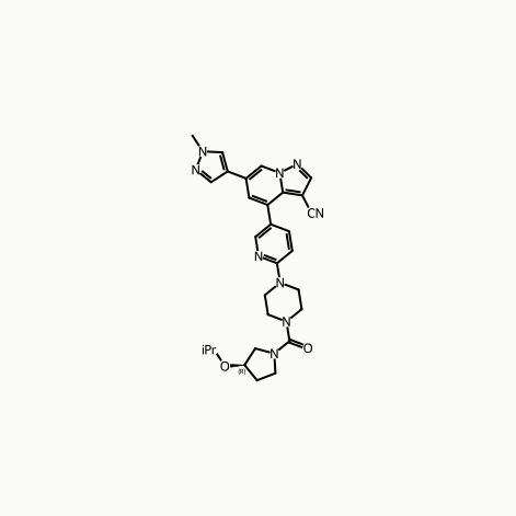 CC(C)O[C@@H]1CCN(C(=O)N2CCN(c3ccc(-c4cc(-c5cnn(C)c5)cn5ncc(C#N)c45)cn3)CC2)C1